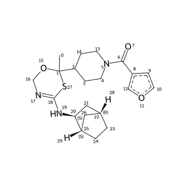 CC1(C2CCN(C(=O)c3ccoc3)CC2)OCN=C(N[C@H]2C[C@@H]3CC[C@H]2C3)S1